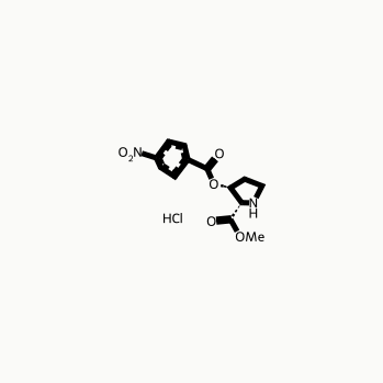 COC(=O)[C@H]1NCC[C@H]1OC(=O)c1ccc([N+](=O)[O-])cc1.Cl